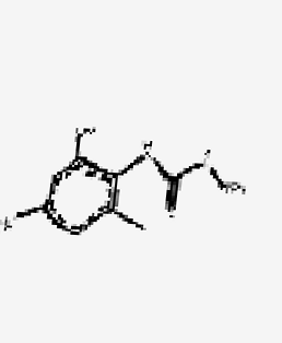 Cc1cc(C(C)(C)C)cc(C(C)(C)C)c1NC(=S)NC(C)C